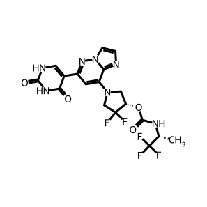 C[C@@H](NC(=O)O[C@H]1CN(c2cc(-c3c[nH]c(=O)[nH]c3=O)nn3ccnc23)CC1(F)F)C(F)(F)F